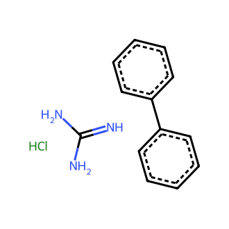 Cl.N=C(N)N.c1ccc(-c2ccccc2)cc1